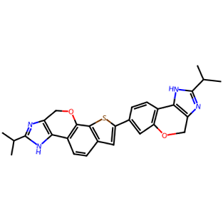 CC(C)c1nc2c([nH]1)-c1ccc(-c3cc4ccc5c(c4s3)OCc3nc(C(C)C)[nH]c3-5)cc1OC2